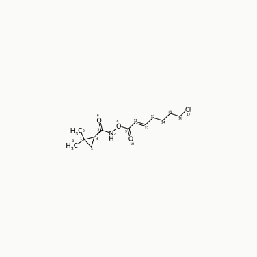 CC1(C)C[C@@H]1C(=O)NOC(=O)C=CCCCCCl